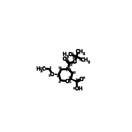 CCO[C@H]1CO[C@H](C(=O)O)CN(C(=O)OC(C)(C)C)C1